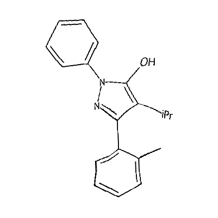 Cc1ccccc1-c1nn(-c2ccccc2)c(O)c1C(C)C